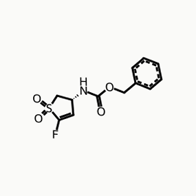 O=C(N[C@@H]1C=C(F)S(=O)(=O)C1)OCc1ccccc1